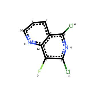 Fc1c(Cl)nc(Cl)c2cccnc12